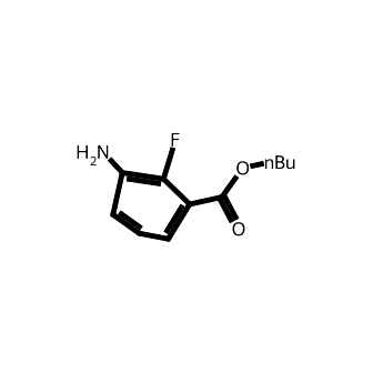 CCCCOC(=O)c1cccc(N)c1F